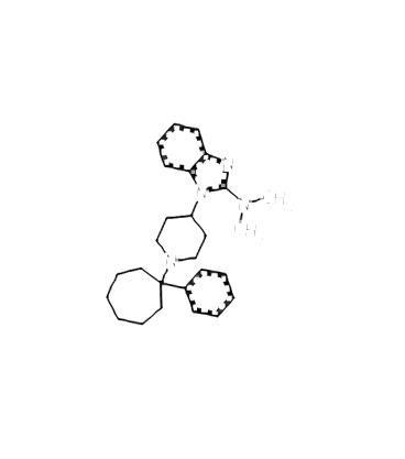 CN(C)c1nc2ccccc2n1C1CCN(C2(c3ccccc3)CCCCCC2)CC1